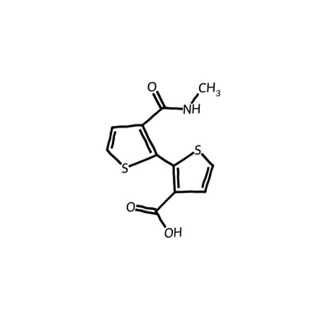 CNC(=O)c1ccsc1-c1sccc1C(=O)O